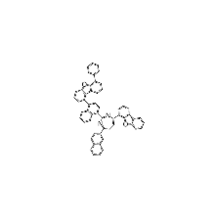 C1=C(c2cccc3c2oc2ccccc23)N=C(c2ccc(-c3cccc4oc5c(-c6ccccc6)cccc5c34)c3ccccc23)N=C(c2ccc3ccccc3c2)C1